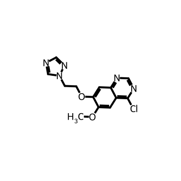 COc1cc2c(Cl)ncnc2cc1OCCn1cncn1